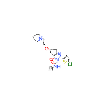 CC(C)NC(=O)Cn1c(-c2ccc(Cl)s2)nc2ccc(OCCCN3CCCCC3)cc2c1=O